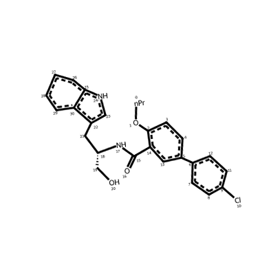 CCCOc1ccc(-c2ccc(Cl)cc2)cc1C(=O)N[C@H](CO)Cc1c[nH]c2ccccc12